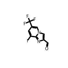 O=Cc1cn2cc(C(F)(F)F)cc(I)c2n1